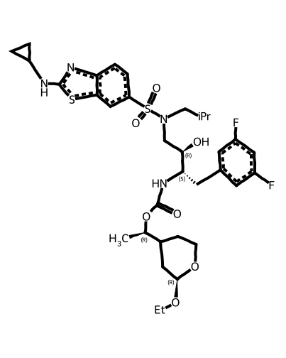 CCO[C@H]1CC([C@@H](C)OC(=O)N[C@@H](Cc2cc(F)cc(F)c2)[C@H](O)CN(CC(C)C)S(=O)(=O)c2ccc3nc(NC4CC4)sc3c2)CCO1